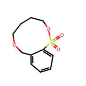 O=S1(=O)OCCCCOCc2ccccc21